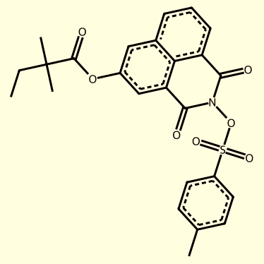 CCC(C)(C)C(=O)Oc1cc2c3c(cccc3c1)C(=O)N(OS(=O)(=O)c1ccc(C)cc1)C2=O